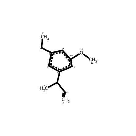 [CH2]C(C=C)c1cc(CC)cc(OC)c1